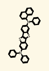 c1ccc(N(c2ccccc2)c2ccc3c(c2)sc2c4ccc(N(c5ccccc5)c5cccc6ccccc56)cc4sc32)cc1